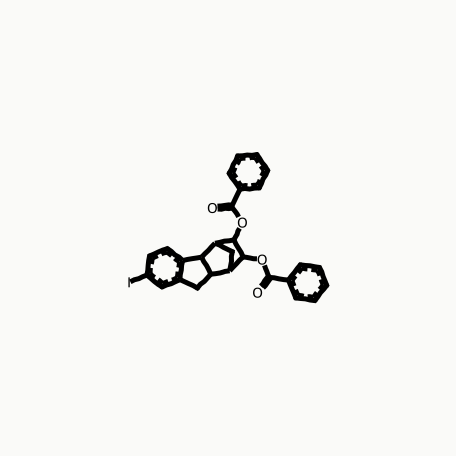 O=C(OC1C2CC(C1OC(=O)c1ccccc1)C1c3ccc(I)cc3CC21)c1ccccc1